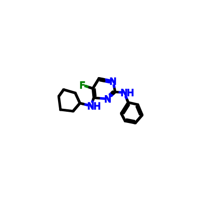 Fc1cnc(Nc2ccccc2)nc1NC1CCCCC1